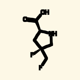 O=C(O)[C@@H]1C[C@](F)(CF)CN1